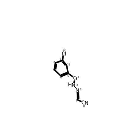 N#CC=NNOc1cccc(Cl)c1